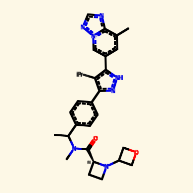 Cc1cc(-c2[nH]nc(-c3ccc(C(C)N(C)C(=O)[C@@H]4CCN4C4COC4)cc3)c2C(C)C)cn2ncnc12